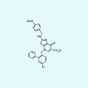 COc1ccc(CNc2nc3c(=O)c(C(=O)O)cn(Cc4ccc(Cl)cc4-c4ccccc4)c3s2)cc1